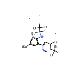 C=N/C(=C\C(CC(C)(CC)CC)C(C)C)c1cc(C(C)(C)C)cc(CC)c1NC(C)(C)C(C)(CC)CC